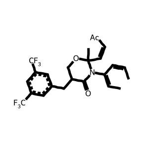 C/C=C\C(=C/C)N1C(=O)C(Cc2cc(C(F)(F)F)cc(C(F)(F)F)c2)COC1(C)/C=C\C(C)=O